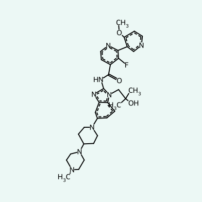 COc1ccncc1-c1nccc(C(=O)Nc2nc3cc(N4CCC(N5CCN(C)CC5)CC4)ccc3n2CC(C)(C)O)c1F